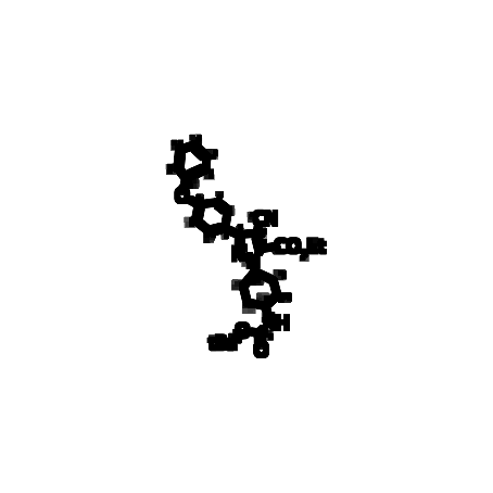 CCOC(=O)c1c(C#N)c(-c2ccc(Oc3ccccc3)cc2)nn1C1CCC(NC(=O)OC(C)(C)C)CC1